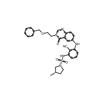 N#Cc1c(Nc2ccc3ncn(CCOCc4ccccc4)c(=O)c3c2)cccc1NS(=O)(=O)N1CC[C@@H](F)C1